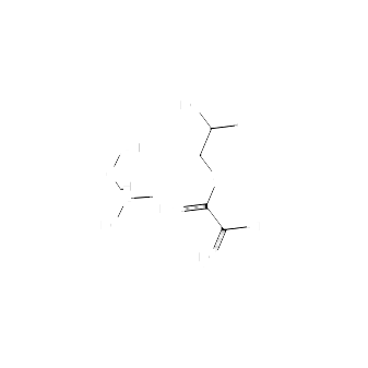 C=C(C)C(=O)OCC(C)C.C[SiH](C)O[SiH3]